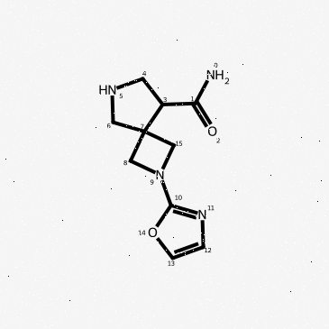 NC(=O)C1CNCC12CN(c1ncco1)C2